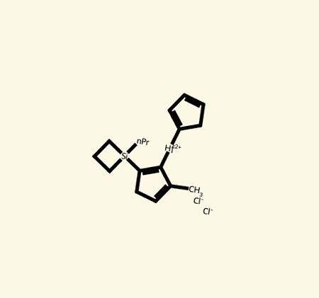 CCC[Si]1(C2=[C]([Hf+2][C]3=CC=CC3)C(C)=CC2)CCC1.[Cl-].[Cl-]